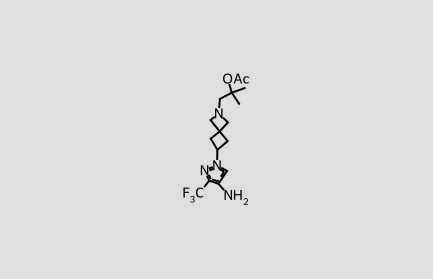 CC(=O)OC(C)(C)CN1CC2(CC(n3cc(N)c(C(F)(F)F)n3)C2)C1